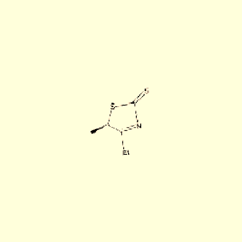 CCC1=NC(=S)S[C@@H]1C